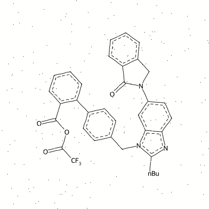 CCCCc1nc2ccc(N3Cc4ccccc4C3=O)cc2n1Cc1ccc(-c2ccccc2C(=O)OC(=O)C(F)(F)F)cc1